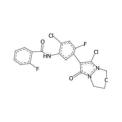 O=C(Nc1cc(-c2c(Cl)n3n(c2=O)CCCC3)c(F)cc1Cl)c1ccccc1F